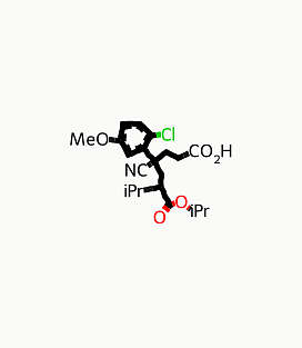 COc1ccc(Cl)c(C(C#N)(CCC(=O)O)CC(C(=O)OC(C)C)C(C)C)c1